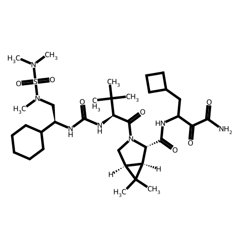 CN(C)S(=O)(=O)N(C)C[C@@H](NC(=O)N[C@H](C(=O)N1C[C@H]2[C@@H]([C@H]1C(=O)NC(CC1CCC1)C(=O)C(N)=O)C2(C)C)C(C)(C)C)C1CCCCC1